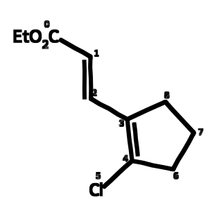 CCOC(=O)C=CC1=C(Cl)CCC1